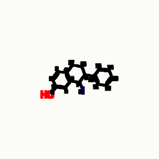 Oc1ccc2c(c1)C(I)C(c1ccccc1)CC2